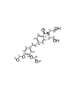 COCOc1ccc(C=Cc2ccc(C(=O)N(CCO)CCO)cc2)cc1OCOC